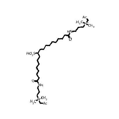 CC(=O)C[N+](C)(C)CCCNC(=O)CCCCCCCCCC(CCCCCCCC(=O)NCCC[N+](C)(C)CC(C)=O)S(=O)(=O)O